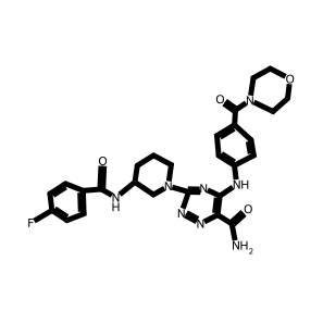 NC(=O)c1nnc(N2CCCC(NC(=O)c3ccc(F)cc3)C2)nc1Nc1ccc(C(=O)N2CCOCC2)cc1